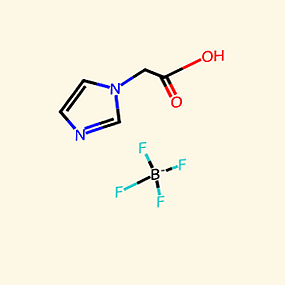 F[B-](F)(F)F.O=C(O)Cn1ccnc1